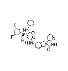 C[C@]1(c2cc(F)cc(F)c2)N=C(c2ccccc2)C(=O)N1CC(=O)Nc1ccc2c(c1)C[C@@]1(C2)C(=O)Nc2ncccc21